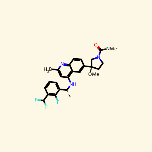 Bc1cc(N[C@H](C)c2cccc(C(F)F)c2F)c2cc([C@@]3(OC)CCN(C(=O)NC)C3)ccc2n1